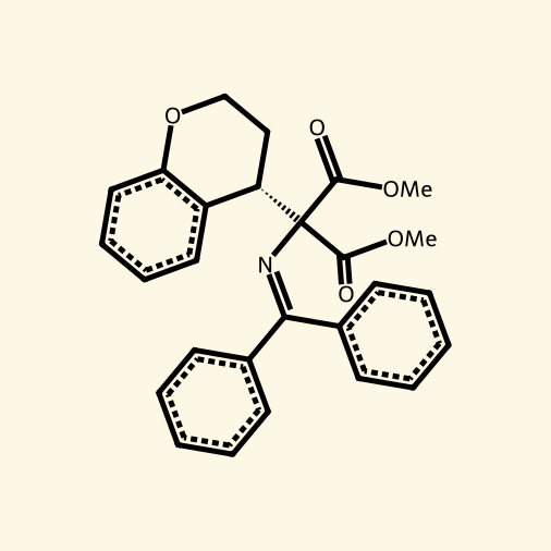 COC(=O)C(N=C(c1ccccc1)c1ccccc1)(C(=O)OC)[C@H]1CCOc2ccccc21